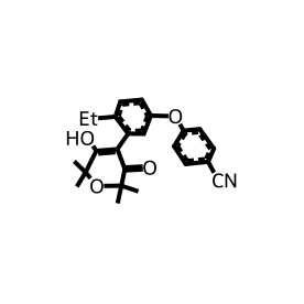 CCc1ccc(Oc2ccc(C#N)cc2)cc1C1=C(O)C(C)(C)OC(C)(C)C1=O